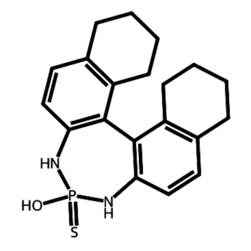 OP1(=S)Nc2ccc3c(c2-c2c(ccc4c2CCCC4)N1)CCCC3